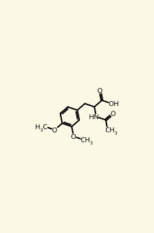 COc1ccc(CC(NC(C)=O)C(=O)O)cc1OC